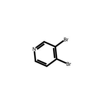 Brc1ccncc1Br